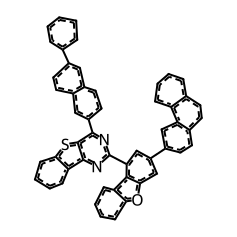 c1ccc(-c2ccc3cc(-c4nc(-c5cc(-c6ccc7ccc8ccccc8c7c6)cc6oc7ccccc7c56)nc5c4sc4ccccc45)ccc3c2)cc1